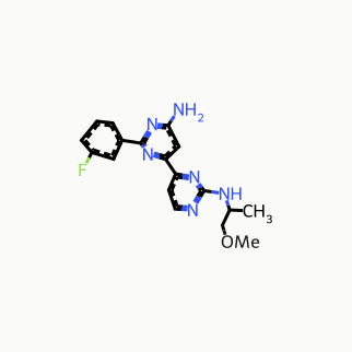 COCC(C)Nc1nccc(-c2cc(N)nc(-c3cccc(F)c3)n2)n1